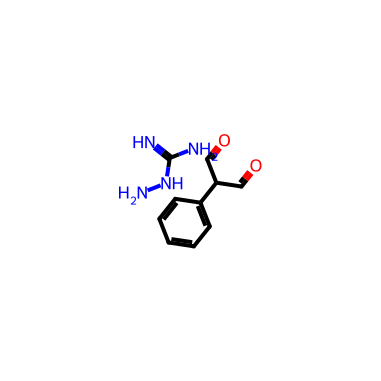 N=C(N)NN.O=CC(C=O)c1ccccc1